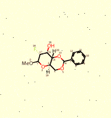 COC1O[C@@H]2COC(c3ccccc3)O[C@H]2[C@H](O)[C@H]1F